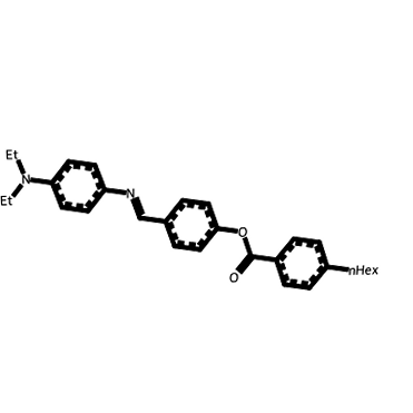 CCCCCCc1ccc(C(=O)Oc2ccc(/C=N/c3ccc(N(CC)CC)cc3)cc2)cc1